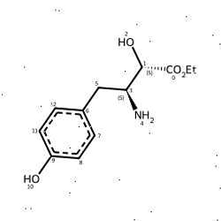 CCOC(=O)[C@@H](O)[C@@H](N)Cc1ccc(O)cc1